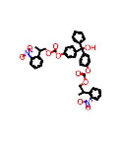 CC(COC(=O)Oc1ccc(C(O)(c2ccccc2)c2ccc(OC(=O)OCC(C)c3ccccc3[N+](=O)[O-])cc2)cc1)c1ccccc1[N+](=O)[O-]